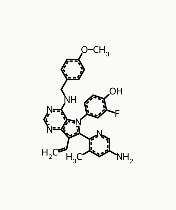 C=Cc1c(-c2ncc(N)cc2C)n(-c2ccc(O)c(F)c2)c2c(NCc3ccc(OC)cc3)ncnc12